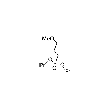 COCCCP(=O)(OC(C)C)OC(C)C